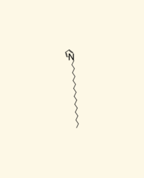 CCCCCCCCCCCCCCCCCCn1cccc1